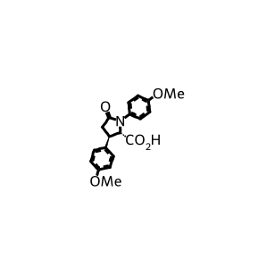 COc1ccc([C@H]2CC(=O)N(c3ccc(OC)cc3)[C@@H]2C(=O)O)cc1